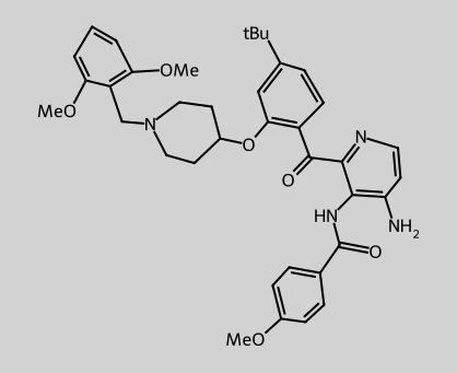 COc1ccc(C(=O)Nc2c(N)ccnc2C(=O)c2ccc(C(C)(C)C)cc2OC2CCN(Cc3c(OC)cccc3OC)CC2)cc1